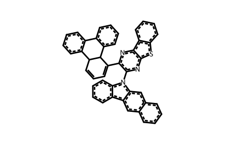 C1=CC2c3ccccc3-c3ccccc3C2C(c2nc3c(nc2-n2c4ccccc4c4cc5ccccc5cc42)sc2ccccc23)=C1